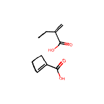 C=C(CC)C(=O)O.O=C(O)C1=CCC1